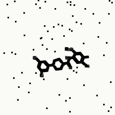 COc1cc(C)c(C(C)=O)cc1NC(=O)N1CCN(c2cc(Cl)cc(Cl)c2)CC1